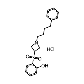 Cl.O=S(=O)(c1ccccc1O)C1CN(CCCCc2ccccc2)C1